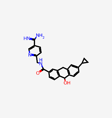 N=C(N)c1ccc(CNC(=O)c2ccc3c(c2)Cc2cc(C4CC4)ccc2C3O)nc1